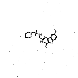 CC(C)(CN1CCCCC1)NCc1nc2c(oc3ccc(Br)cc32)c(=O)[nH]1